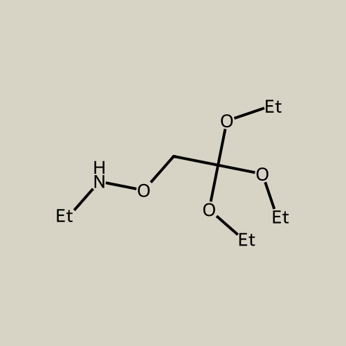 CCNOCC(OCC)(OCC)OCC